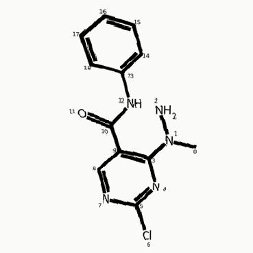 CN(N)c1nc(Cl)ncc1C(=O)Nc1ccccc1